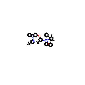 Cc1cc(C)c(-c2ccccc2)c(N2CN(c3cc(Oc4ccc5c6ccccc6n(-c6cc(C(C)(C)C)ccn6)c5c4)cc(C(C)(C)C)c3)c3ccccc32)c1-c1ccccc1